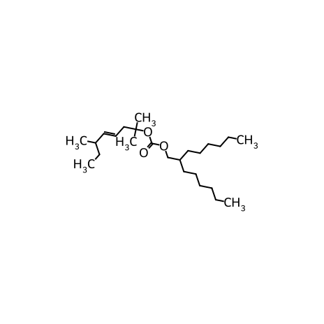 CCCCCCC(CCCCCC)COC(=O)OC(C)(C)C/C=C/C(C)CC